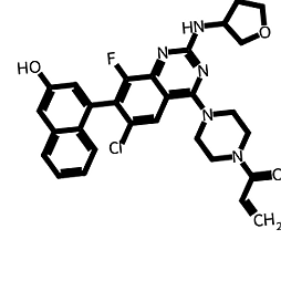 C=CC(=O)N1CCN(c2nc(NC3CCOC3)nc3c(F)c(-c4cc(O)cc5ccccc45)c(Cl)cc23)CC1